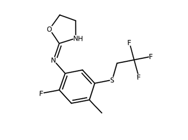 Cc1cc(F)c(/N=C2\NCCO2)cc1SCC(F)(F)F